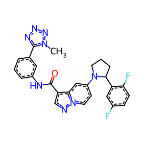 Cn1nnnc1-c1cccc(NC(=O)c2cnn3ccc(N4CCCC4c4cc(F)ccc4F)cc23)c1